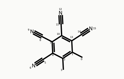 Cc1c(C)c(C#N)c(C#N)c(C#N)c1C#N